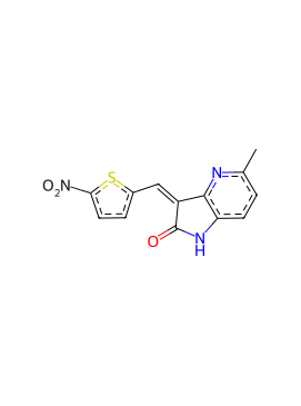 Cc1ccc2c(n1)C(=Cc1ccc([N+](=O)[O-])s1)C(=O)N2